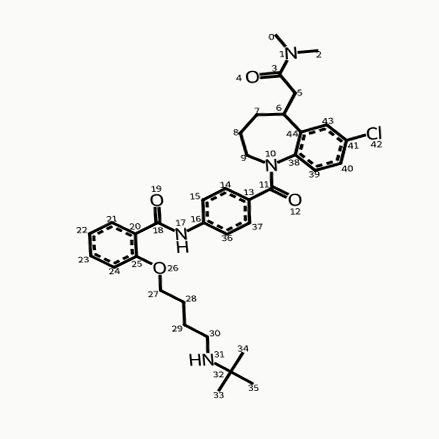 CN(C)C(=O)CC1CCCN(C(=O)c2ccc(NC(=O)c3ccccc3OCCCCNC(C)(C)C)cc2)c2ccc(Cl)cc21